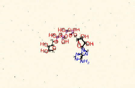 Nc1ncnc2c1ncn2[C@@H]1O[C@H](COP(=O)(O)OP(O)OP(O)OP(O)OC[C@H]2OC[C@H](O)[C@@H]2O)[C@@H](O)[C@H]1O